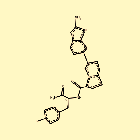 NC(=O)[C@H](Cc1ccc(F)cc1)NC(=O)c1cnc2ccc(-c3ccc4oc(N)nc4c3)cn12